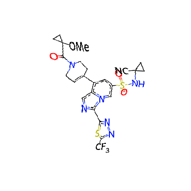 COC1(C(=O)N2CC=C(c3cc(S(=O)(=O)NC4(C#N)CC4)cn4c(-c5nnc(C(F)(F)F)s5)ncc34)CC2)CC1